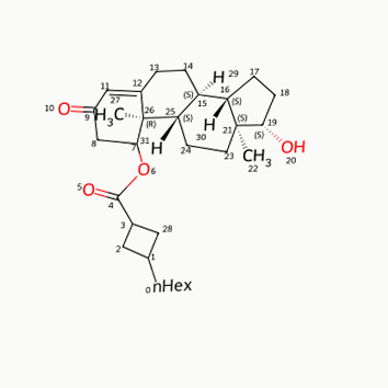 CCCCCCC1CC(C(=O)OC2CC(=O)C=C3CC[C@H]4[C@@H]5CC[C@H](O)[C@@]5(C)CC[C@@H]4[C@]32C)C1